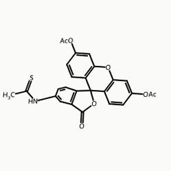 CC(=O)Oc1ccc2c(c1)Oc1cc(OC(C)=O)ccc1C21OC(=O)c2cc(NC(C)=S)ccc21